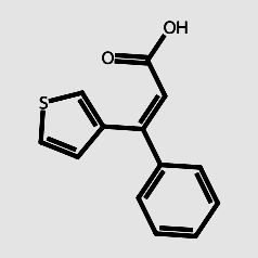 O=C(O)C=C(c1ccccc1)c1ccsc1